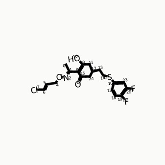 CC(=NOCC=CCl)C1=C(O)CC(CCSc2ccc(F)c(F)c2)CC1=O